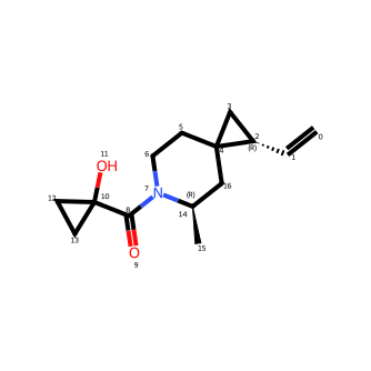 C=C[C@H]1CC12CCN(C(=O)C1(O)CC1)[C@H](C)C2